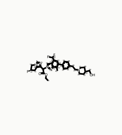 CCOC(=O)C(c1ncn2c1C[C@@H](F)C2)n1cc2c(C(F)F)cc(-c3ccc(CCN4CCC(CO)CC4)cc3)c(C)c2n1